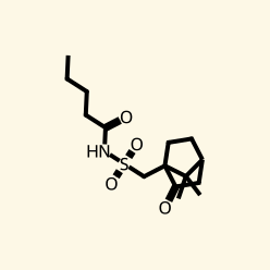 CCCCC(=O)NS(=O)(=O)CC12CCC(CC1=O)C2(C)C